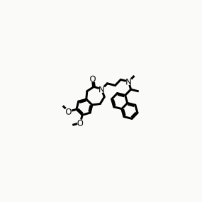 COc1cc2c(cc1OC)CC(=O)N(CCCN(C)C(C)c1cccc3ccccc13)CC2